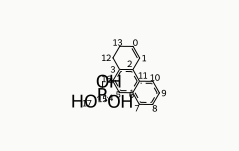 C1=Cc2c(ccc3ccccc23)CC1.OP(O)O